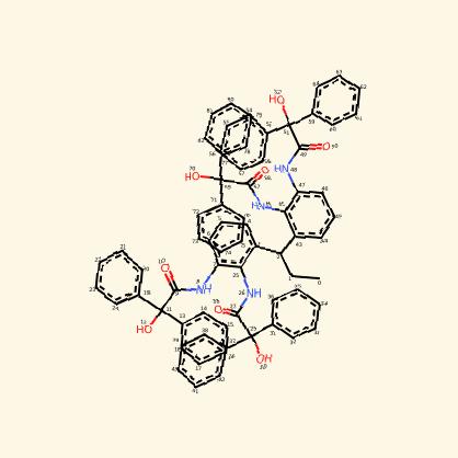 CCC(c1cccc(NC(=O)C(O)(c2ccccc2)c2ccccc2)c1NC(=O)C(O)(c1ccccc1)c1ccccc1)c1cccc(NC(=O)C(O)(c2ccccc2)c2ccccc2)c1NC(=O)C(O)(c1ccccc1)c1ccccc1